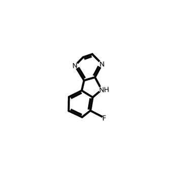 Fc1cccc2c1[nH]c1nccnc12